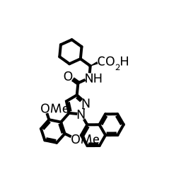 COc1cccc(OC)c1-c1cc(C(=O)N[C@H](C(=O)O)C2CCCCC2)nn1-c1cccc2ccccc12